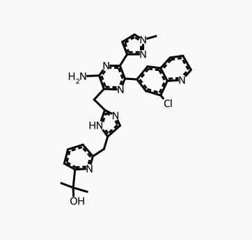 Cn1ccc(-c2nc(N)c(Cc3ncc(Cc4cccc(C(C)(C)O)n4)[nH]3)nc2-c2cc(Cl)c3ncccc3c2)n1